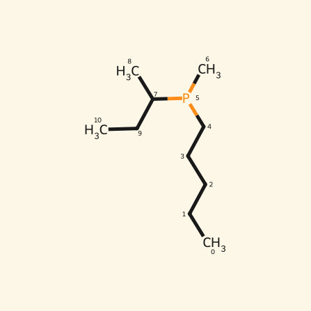 CCCCCP(C)C(C)CC